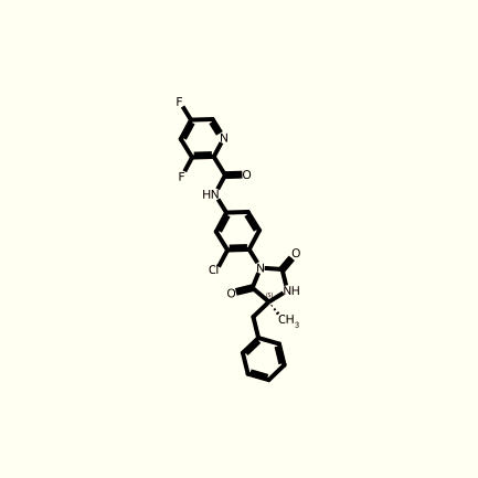 C[C@@]1(Cc2ccccc2)NC(=O)N(c2ccc(NC(=O)c3ncc(F)cc3F)cc2Cl)C1=O